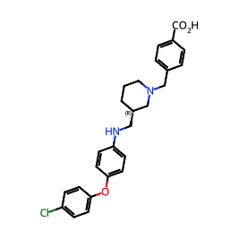 O=C(O)c1ccc(CN2CCC[C@H](CNc3ccc(Oc4ccc(Cl)cc4)cc3)C2)cc1